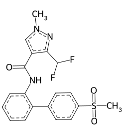 Cn1cc(C(=O)Nc2ccccc2-c2ccc(S(C)(=O)=O)cc2)c(C(F)F)n1